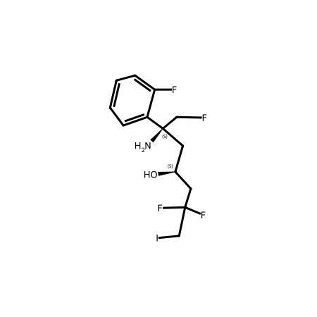 N[C@@](CF)(C[C@H](O)CC(F)(F)CI)c1ccccc1F